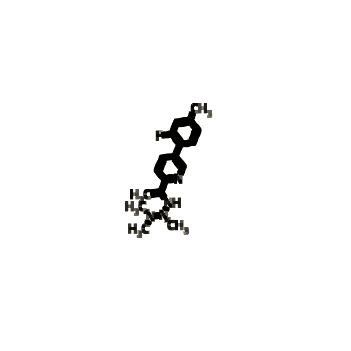 C=C(NN(C)N(C)C)c1ccc(-c2ccc(C)cc2F)cn1